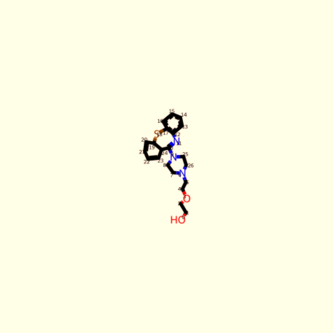 OCCOCCN1CCN(C2=Nc3ccccc3SC3C=CC=CC23)CC1